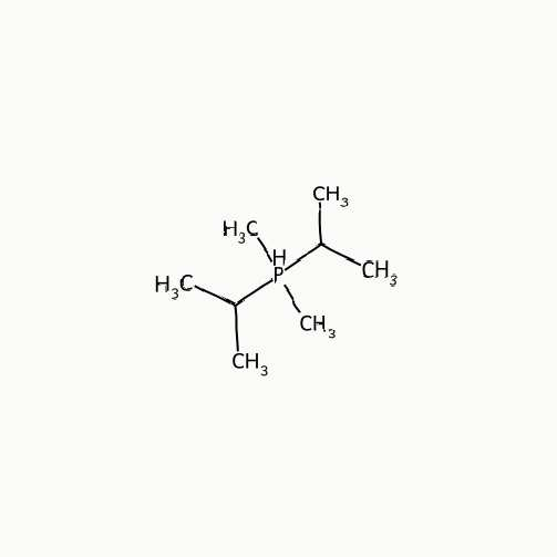 CC(C)[PH](C)(C)C(C)C